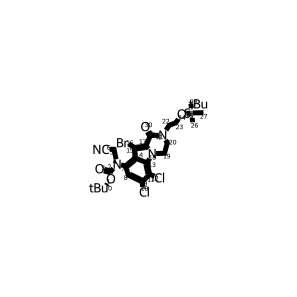 CC(C)(C)OC(=O)N(CC#N)c1cc(Cl)c(Cl)c2c1c(Br)c1n2CCN(CCO[Si](C)(C)C(C)(C)C)C1=O